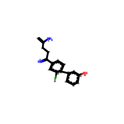 C=C(N)CCC(=N)c1ccc(-c2cccc(O)c2)c(F)c1